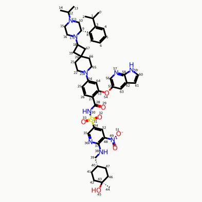 CC(C)c1ccccc1[C@H]1CN(C(C)C)CCN1C1CC2(CCN(c3ccc(C(=O)NS(=O)(=O)c4cnc(NC[C@H]5CC[C@](C)(O)CC5)c([N+](=O)[O-])c4)c(Oc4cnc5[nH]ccc5c4)c3)CC2)C1